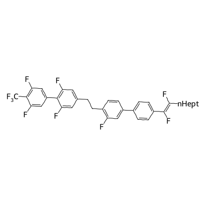 CCCCCCC/C(F)=C(\F)c1ccc(-c2ccc(CCc3cc(F)c(-c4cc(F)c(C(F)(F)F)c(F)c4)c(F)c3)c(F)c2)cc1